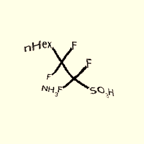 CCCCCCC(F)(F)C(F)(F)S(=O)(=O)O.N